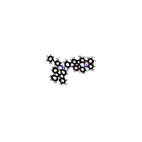 c1ccc(-c2ccc(N(c3ccc(-c4ccc5c(c4)C4(c6ccccc6)c6ccccc6N(c6ccccc6)c6c(-c7ccccc7)ccc-5c64)cc3)c3ccc4c(c3)C(c3ccccc3)(c3ccccc3)c3ccccc3-4)cc2)cc1